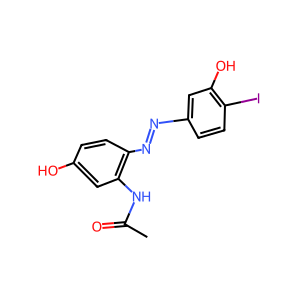 CC(=O)Nc1cc(O)ccc1N=Nc1ccc(I)c(O)c1